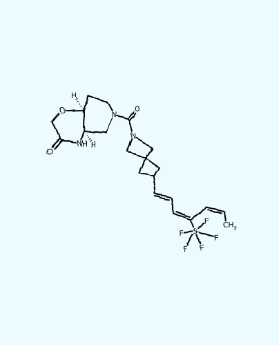 C\C=C/C(=C\C=C\C1CC2(C1)CN(C(=O)N1CC[C@@H]3OCC(=O)N[C@@H]3C1)C2)S(F)(F)(F)(F)F